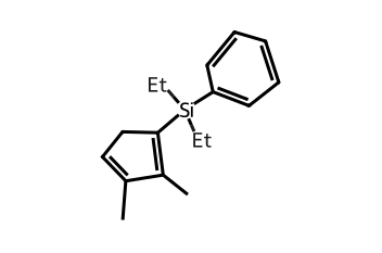 CC[Si](CC)(C1=C(C)C(C)=CC1)c1ccccc1